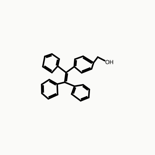 OCc1ccc(C(=C(c2ccccc2)c2ccccc2)c2ccccc2)cc1